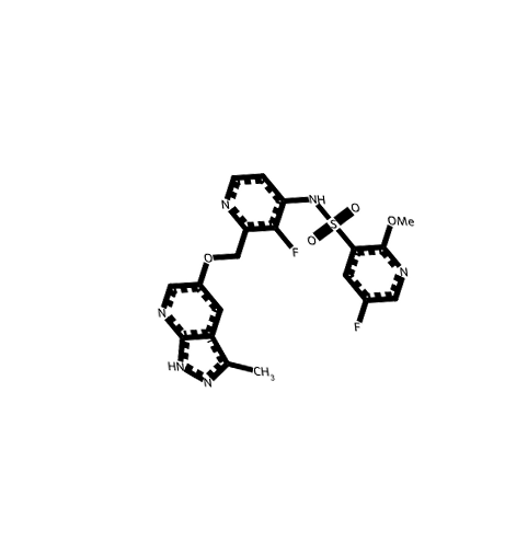 COc1ncc(F)cc1S(=O)(=O)Nc1ccnc(COc2cnc3[nH]nc(C)c3c2)c1F